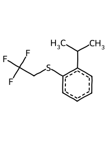 CC(C)c1ccccc1SCC(F)(F)F